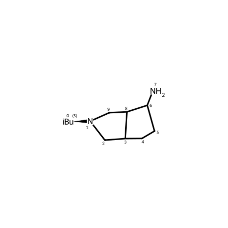 CC[C@H](C)N1CC2CCC(N)C2C1